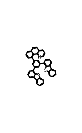 c1cnc2c(c1)ccc1cccc(-c3cc(-c4cccc5c4sc4ccccc45)cc(-c4cccc5c4sc4ccccc45)c3)c12